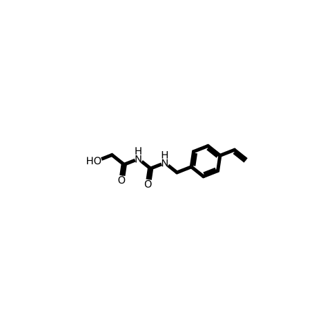 C=Cc1ccc(CNC(=O)NC(=O)CO)cc1